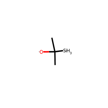 CC(C)([O])[SiH3]